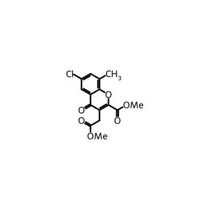 COC(=O)Cc1c(C(=O)OC)oc2c(C)cc(Cl)cc2c1=O